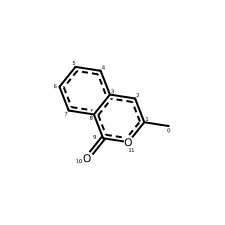 Cc1cc2ccccc2c(=O)o1